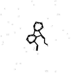 C=Cc1cccc2c1/C(=C\CI)c1ccccc1-2